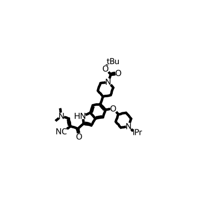 CC(C)N1CCC(Oc2cc3cc(C(=O)C(C#N)=CN(C)C)[nH]c3cc2C2CCN(C(=O)OC(C)(C)C)CC2)CC1